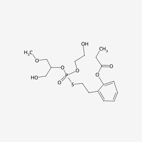 CCC(=O)Oc1ccccc1CCSP(=O)(OCCO)OC(CO)COC